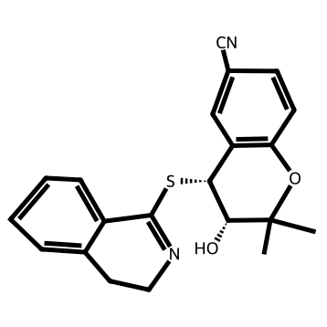 CC1(C)Oc2ccc(C#N)cc2[C@@H](SC2=NCCc3ccccc32)[C@H]1O